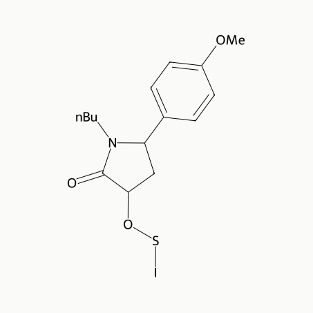 CCCCN1C(=O)C(OSI)CC1c1ccc(OC)cc1